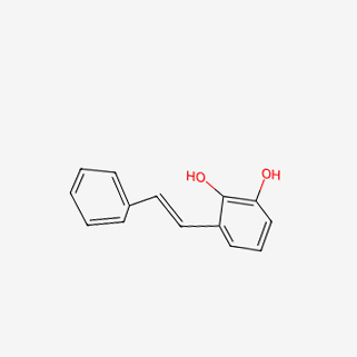 Oc1cccc(C=Cc2ccccc2)c1O